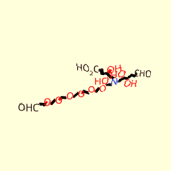 O=CCCOCCOCCOCCOCCOCCOCCN(CC(O)C(O)CCC=O)CC(O)C(O)CCC(=O)O